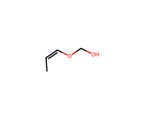 C/C=C\OCO